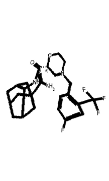 NC(=O)C12CC3CC(C1)C(NC(=O)[C@H]1CN(Cc4ccc(F)cc4C(F)(F)F)CCO1)C(C3)C2